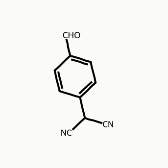 N#CC(C#N)c1ccc(C=O)cc1